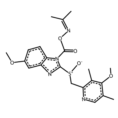 COc1ccc2c(c1)nc([S+]([O-])Cc1ncc(C)c(OC)c1C)n2C(=O)ON=C(C)C